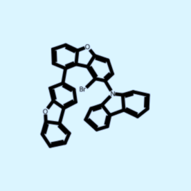 Brc1c(-n2c3ccccc3c3ccccc32)ccc2oc3cccc(-c4ccc5c(c4)oc4ccccc45)c3c12